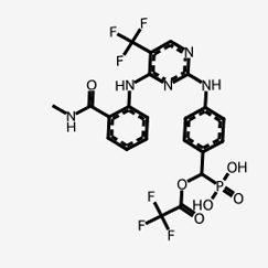 CNC(=O)c1ccccc1Nc1nc(Nc2ccc(C(OC(=O)C(F)(F)F)P(=O)(O)O)cc2)ncc1C(F)(F)F